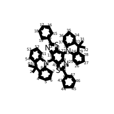 CC1(C)c2ccccc2N(c2c3nc(-c4ccccc4)sc3c(N3c4ccccc4C(C)(C)c4ccccc43)c3nc(-c4ccccc4)sc23)c2ccccc21